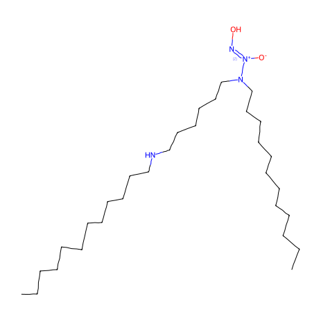 CCCCCCCCCCCCNCCCCCCN(CCCCCCCCCCCC)/[N+]([O-])=N/O